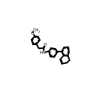 COc1ccc(CC(=O)Nc2ccc(-c3cccc4c3C=CCC4)cc2)cc1